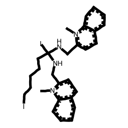 C[n+]1c(CNC(I)(CCCCCI)NCc2ccc3ccccc3[n+]2C)ccc2ccccc21